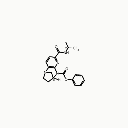 C[C@@H](NC(=O)c1ccc2c(n1)N(C(=O)Oc1ccccc1)[C@@H]1CCN2C1)C(F)(F)F